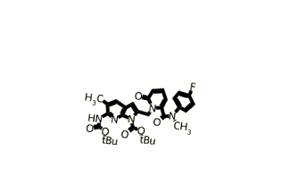 Cc1cc2cc(Cn3c(C(=O)N(C)c4ccc(F)cc4)cccc3=O)n(C(=O)OC(C)(C)C)c2nc1NC(=O)OC(C)(C)C